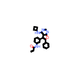 C=CC(=O)Nc1cccc(-c2c(-c3ccccc3)oc3ncnc(NC4CCC4)c23)c1